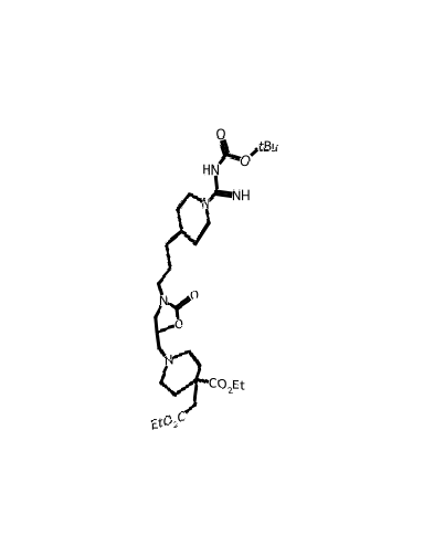 CCOC(=O)CC1(C(=O)OCC)CCN(CC2CN(CCCC3CCN(C(=N)NC(=O)OC(C)(C)C)CC3)C(=O)O2)CC1